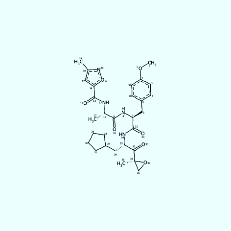 COc1ccc(C[C@H](NC(=O)[C@H](C)NC(=O)c2cc(C)no2)C(=O)N[C@@H](CC2CCCC2)C(=O)[C@]2(C)CO2)cc1